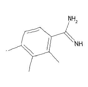 [CH2]c1ccc(C(=N)N)c(C)c1C